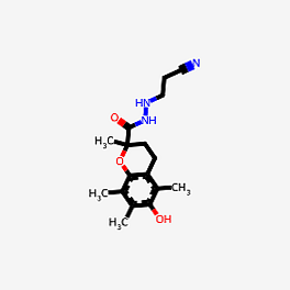 Cc1c(C)c2c(c(C)c1O)CCC(C)(C(=O)NNCCC#N)O2